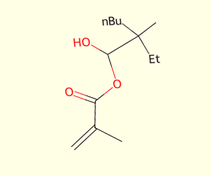 C=C(C)C(=O)OC(O)C(C)(CC)CCCC